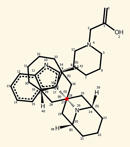 C=C(O)CN1CCC[C@H](c2nc3ccccc3n2[C@H]2C[C@H]3CCC[C@@H](C2)N3[C@@H]2C[C@@H]3CCCC[C@@H](C3)C2)C1